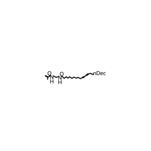 C=C(C)C(=O)NCCCNC(=O)CCCCCCCCCC#CC#CCCCCCCCCCCCC